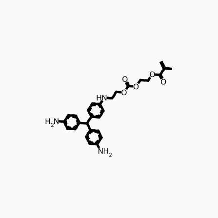 C=C(C)C(=O)OCCOC(=O)OCCNc1ccc(C(c2ccc(N)cc2)c2ccc(N)cc2)cc1